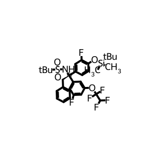 CC(C)(C)[Si](C)(C)Oc1ccc([C@@](Cc2ccccc2)(NS(=O)(=O)C(C)(C)C)c2cc(F)cc(OC(F)(F)C(F)F)c2)cc1F